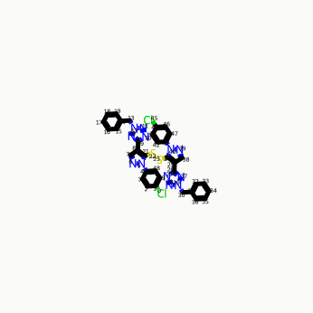 Clc1ccc(-n2ncc(-c3nnn(Cc4ccccc4)n3)c2SSc2c(-c3nnn(Cc4ccccc4)n3)cnn2-c2ccc(Cl)cc2)cc1